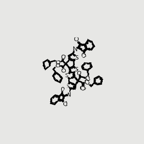 O=C(OCc1ccccc1)C1(C(=O)OCc2ccccc2)c2cc(N=c3c(=O)c4ccccc4c3=O)sc2-c2sc3c4c(sc3c21)-c1sc(N=c2c(=O)c3ccccc3c2=O)cc1C4(C(=O)OCc1ccccc1)C(=O)OCc1ccccc1